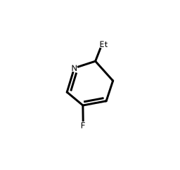 CCC1CC=C(F)C=N1